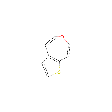 C1=Cc2ccsc2C=CO1